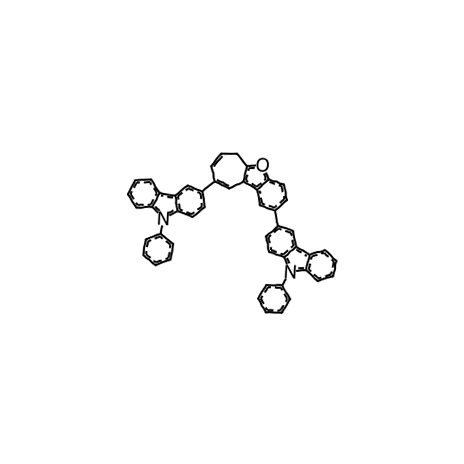 C1=CC(c2ccc3c(c2)c2ccccc2n3-c2ccccc2)=Cc2c(oc3ccc(-c4ccc5c(c4)c4ccccc4n5-c4ccccc4)cc23)C1